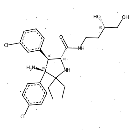 CCC1(CC)N[C@@H](C(=O)NCC[C@H](O)CO)[C@H](c2cccc(Cl)c2)[C@@]1(N)c1ccc(Cl)cc1